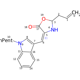 C=CCC1N/C(=C/c2cn(CCCCC)c3ccccc23)C(=O)O1